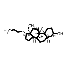 CCCC[C@H]1CC[C@H]2[C@@H]3CC[C@@H]4C[C@H](O)CC[C@]4(C)[C@H]3CC[C@]12CC